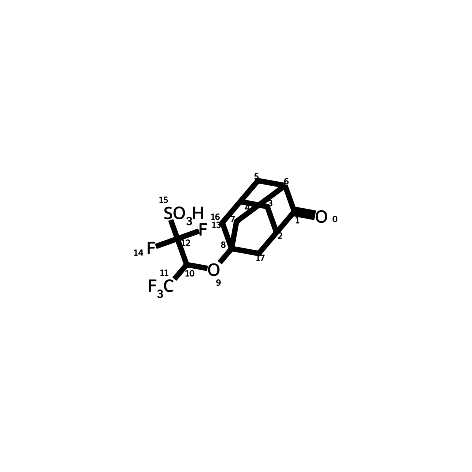 O=C1C2CC3CC1CC(OC(C(F)(F)F)C(F)(F)S(=O)(=O)O)(C3)C2